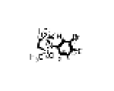 C[Si]1(C)CC[Si](C)(C)N1c1ccc(Cl)c(Br)c1